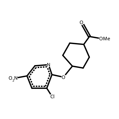 COC(=O)C1CCC(Oc2ncc([N+](=O)[O-])cc2Cl)CC1